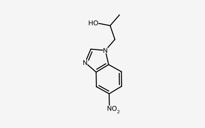 CC(O)Cn1cnc2cc([N+](=O)[O-])ccc21